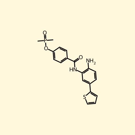 CP(C)(=O)Oc1ccc(C(=O)Nc2cc(-c3cccs3)ccc2N)cc1